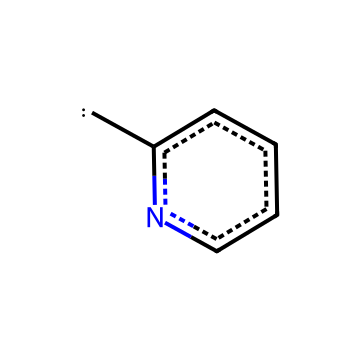 [CH]c1ccccn1